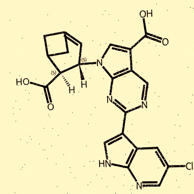 O=C(O)c1cn([C@H]2C=C3CC(C3)[C@@H]2C(=O)O)c2nc(-c3c[nH]c4ncc(Cl)cc34)ncc12